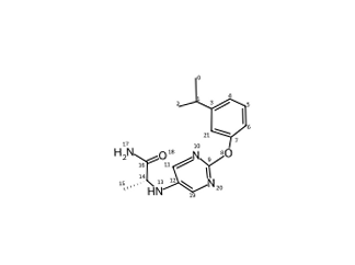 CC(C)c1cccc(Oc2ncc(N[C@H](C)C(N)=O)cn2)c1